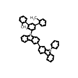 Cc1ccccc1-c1cc(-c2ccccc2C)cc(-n2c3ccccc3c3cc(-c4ccc5c6ccccc6n(-c6ccccc6)c5c4)ccc32)c1